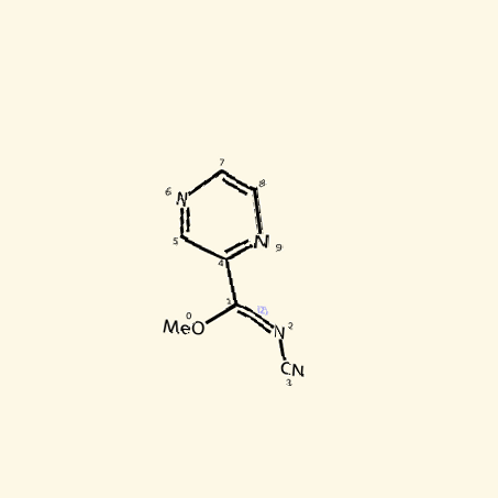 CO/C(=N\C#N)c1cnccn1